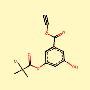 C#COC(=O)c1cc(O)cc(OC(=O)C(C)(C)CC)c1